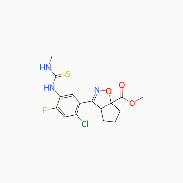 CNC(=S)Nc1cc(C2=NOC3(C(=O)OC)CCCC23)c(Cl)cc1F